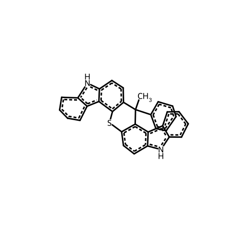 CC1(c2ccccc2)c2ccc3[nH]c4ccccc4c3c2Sc2ccc3[nH]c4ccccc4c3c21